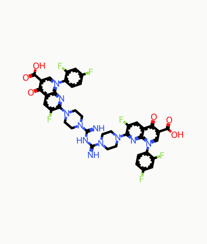 N=C(NC(=N)N1CCN(c2nc3c(cc2F)c(=O)c(C(=O)O)cn3-c2ccc(F)cc2F)CC1)N1CCN(c2nc3c(cc2F)c(=O)c(C(=O)O)cn3-c2ccc(F)cc2F)CC1